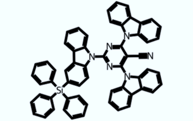 N#Cc1c(-n2c3ccccc3c3ccccc32)nc(-n2c3ccccc3c3cc([Si](c4ccccc4)(c4ccccc4)c4ccccc4)ccc32)nc1-n1c2ccccc2c2ccccc21